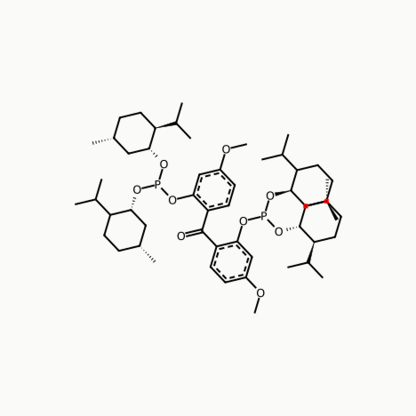 COc1ccc(C(=O)c2ccc(OC)cc2OP(O[C@@H]2C[C@H](C)CCC2C(C)C)O[C@@H]2C[C@H](C)CC[C@H]2C(C)C)c(OP(O[C@@H]2C[C@H](C)CCC2C(C)C)O[C@@H]2C[C@H](C)CC[C@H]2C(C)C)c1